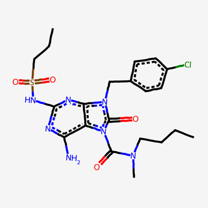 CCCCN(C)C(=O)n1c(=O)n(Cc2ccc(Cl)cc2)c2nc(NS(=O)(=O)CCC)nc(N)c21